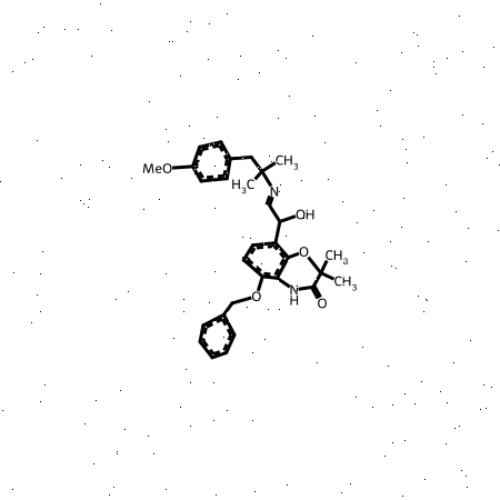 COc1ccc(CC(C)(C)N=CC(O)c2ccc(OCc3ccccc3)c3c2OC(C)(C)C(=O)N3)cc1